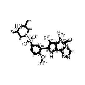 CCCOc1ccc(S(=O)(=O)N2CC(C)NC(C)C2)cc1-c1[nH]c2c(c1Br)n(CCC)c(=O)n1cnnc21